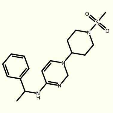 CC(NC1=NCN(C2CCN(S(C)(=O)=O)CC2)C=C1)c1ccccc1